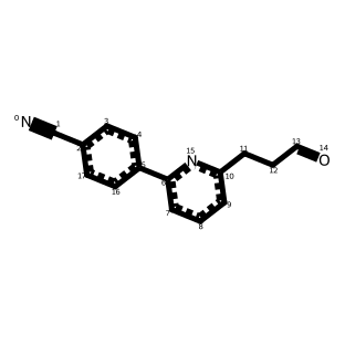 N#Cc1ccc(-c2cccc(CCC=O)n2)cc1